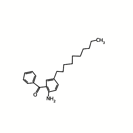 CCCCCCCCCCc1ccc(N)c(C(=O)c2ccccc2)c1